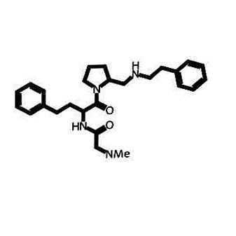 CNCC(=O)NC(CCc1ccccc1)C(=O)N1CCCC1CNCCc1ccccc1